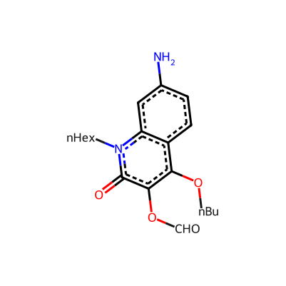 CCCCCCn1c(=O)c(OC=O)c(OCCCC)c2ccc(N)cc21